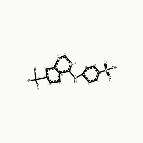 O=S(=O)(O)c1ccc(Nc2ncnc3cc(C(F)(F)F)ccc23)cc1